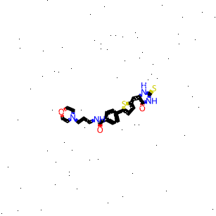 O=C1NC(=S)NC1=Cc1ccc(-c2ccc(C(=O)NCCCN3CCOCC3)cc2)s1